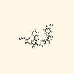 COc1ccc(C(=O)NC2(C(=O)NCCc3c(-c4ccccc4)c4cc(OC)ccc4c(=O)n3C)CC2)cc1